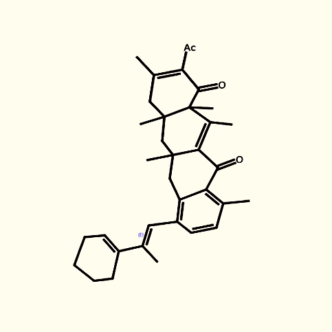 CC(=O)C1=C(C)CC2(C)CC3(C)Cc4c(/C=C(\C)C5=CCCCC5)ccc(C)c4C(=O)C3=C(C)C2(C)C1=O